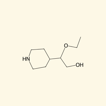 CCOC(CO)C1CCNCC1